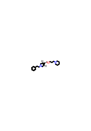 c1ccc(CCN2C[C@@H]3[C@H](COCCCN4CCCCC4)[C@@H]3C2)cc1